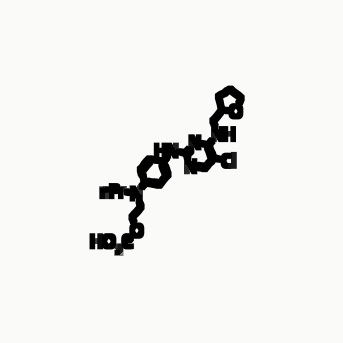 CCCN(CCOC(=O)O)c1ccc(Nc2ncc(Cl)c(NCC3CCCO3)n2)cc1